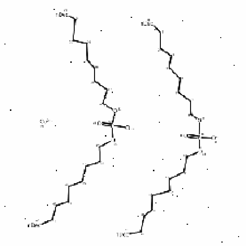 CCCCCCCCCCCCCCCCCCOP(=O)([O-])OCCCCCCCCCCCCCCCCCC.CCCCCCCCCCCCCCCCCCOP(=O)([O-])OCCCCCCCCCCCCCCCCCC.[Co+2]